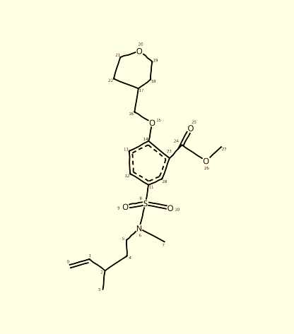 C=CC(C)CCN(C)S(=O)(=O)c1ccc(OCC2CCOCC2)c(C(=O)OC)c1